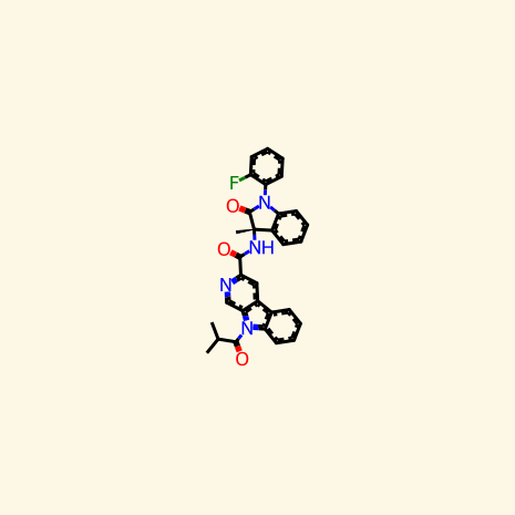 CC(C)C(=O)n1c2ccccc2c2cc(C(=O)N[C@]3(C)C(=O)N(c4ccccc4F)c4ccccc43)ncc21